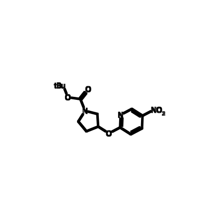 CC(C)(C)OC(=O)N1CCC(Oc2ccc([N+](=O)[O-])cn2)C1